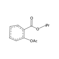 CC(=O)Oc1ccccc1C(=O)OC(C)C